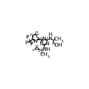 CC(CO)Nc1nc(N[C@H](C)C2CC2)nc(-c2cccc(C(F)(F)F)n2)n1